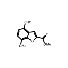 COC(=O)c1cc2c(C=O)ccc(OC)c2o1